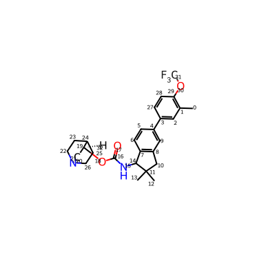 Cc1cc(-c2ccc3c(c2)CC(C)(C)C3NC(=O)O[C@H]2CN3CCC2CC3)ccc1OC(F)(F)F